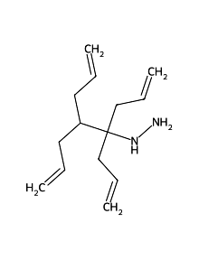 C=CCC(CC=C)C(CC=C)(CC=C)NN